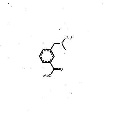 COC(=O)c1cccc(CN(C)C(=O)O)c1